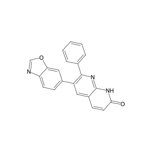 O=c1ccc2cc(-c3ccc4ncoc4c3)c(-c3ccccc3)nc2[nH]1